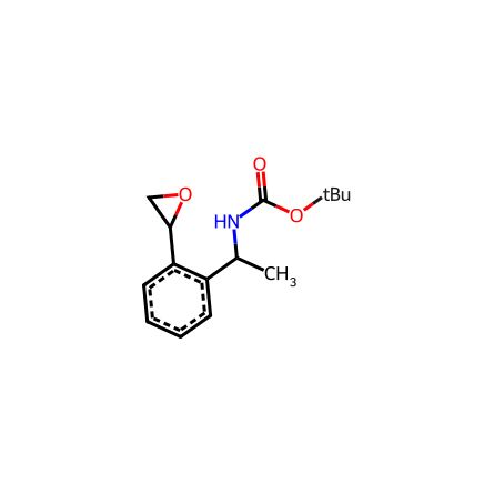 CC(NC(=O)OC(C)(C)C)c1ccccc1C1CO1